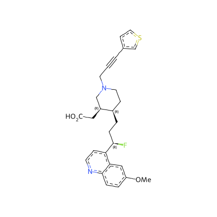 COc1ccc2nccc([C@H](F)CC[C@@H]3CCN(CC#Cc4ccsc4)C[C@@H]3CC(=O)O)c2c1